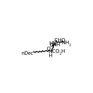 CCCCCCCCCCCCCCCCCCCCC(=O)NC(CCC(=O)NNC(C=O)CCCCN)C(=O)O